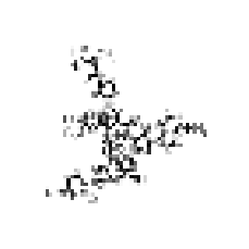 CC(C)(C)OC(=O)NC(CC[C@H]1CN(C(=O)OC(C)(C)C)CS1)C(=O)O[C@H]1[C@@H](O)[C@H](n2cnc3c(N)ncnc32)O[C@@H]1COP(=O)(O)O[C@H]1C[C@H](n2ccc(N)nc2=O)O[C@@H]1COP(=O)(O)O